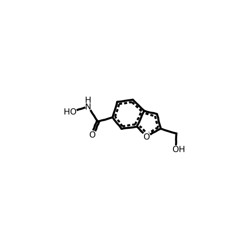 O=C(NO)c1ccc2cc(CO)oc2c1